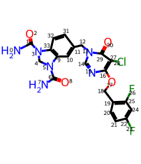 NC(=O)N1CN(C(N)=O)c2cc(Cn3cnc(OCc4ccc(F)cc4F)c(Cl)c3=O)ccc21